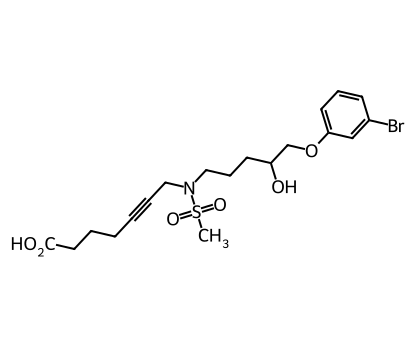 CS(=O)(=O)N(CC#CCCCC(=O)O)CCCC(O)COc1cccc(Br)c1